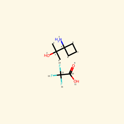 CC(C)(O)C1(N)CCC1.O=C(O)C(F)(F)F